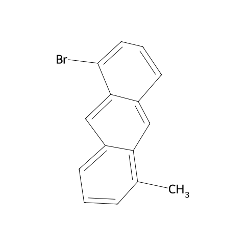 Cc1cccc2cc3c(Br)cccc3cc12